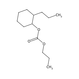 CCCOC(=O)OC1CCCCC1CCC